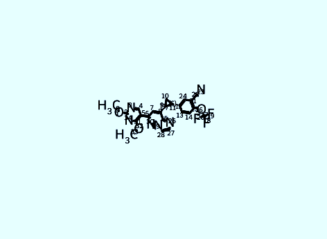 COc1ncc(-c2cc([C@H]3C[C@@H]3c3ccc(OC(F)(F)F)c(C#N)c3)c3nccn3n2)c(OC)n1